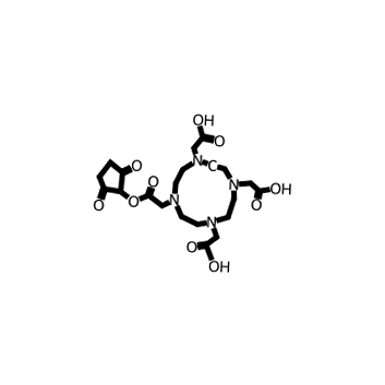 O=C(O)CN1CCN(CC(=O)O)CCN(CC(=O)OC2C(=O)CCC2=O)CCN(CC(=O)O)CC1